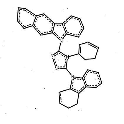 C1=CCCC(n2c(-n3c4c(c5ccccc53)CCC=C4)nnc2-n2c3ccccc3c3cc4ccccc4cc32)=C1